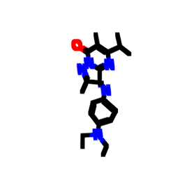 CCN(CC)c1ccc(N=C2C(C)=Nn3c2nc(C(C)C)c(C)c3=O)cc1